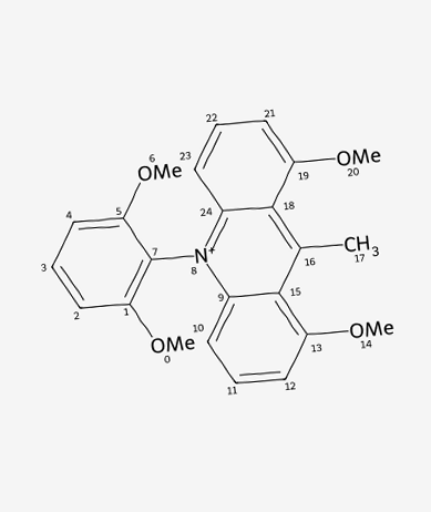 COc1cccc(OC)c1-[n+]1c2cccc(OC)c2c(C)c2c(OC)cccc21